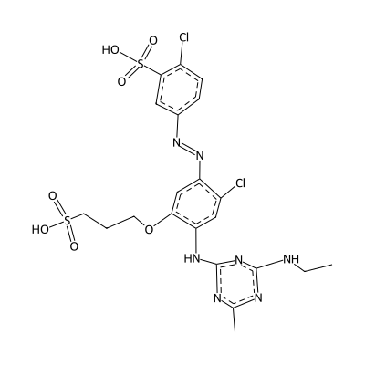 CCNc1nc(C)nc(Nc2cc(Cl)c(N=Nc3ccc(Cl)c(S(=O)(=O)O)c3)cc2OCCCS(=O)(=O)O)n1